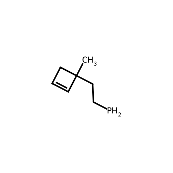 CC1(CCP)C=CC1